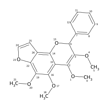 COC1=C(OC)C(c2ccccc2)Oc2c1c(OC)c(OC)c1occc21